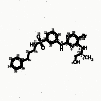 C[C@H](CO)Nc1nc(Nc2cccc(S(=O)(=O)NCCCc3ccccc3)c2)ncc1Br